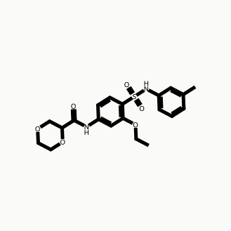 CCOc1cc(NC(=O)C2COCCO2)ccc1S(=O)(=O)Nc1cccc(C)c1